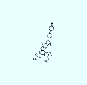 CCCC(CCO)Nc1nc(OC(N)=O)nc2cnn(Cc3ncc(C4CCN(C5CCNCC5)CC4)cc3OC)c12